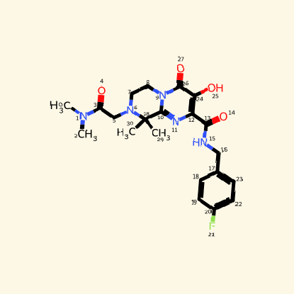 CN(C)C(=O)CN1CCn2c(nc(C(=O)NCc3ccc(F)cc3)c(O)c2=O)C1(C)C